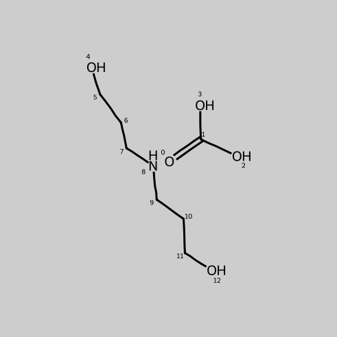 O=C(O)O.OCCCNCCCO